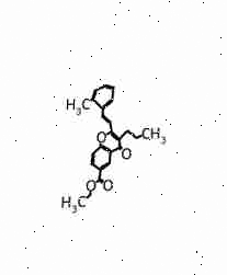 CCCc1c(/C=C/c2ccccc2C)oc2ccc(C(=O)OCC)cc2c1=O